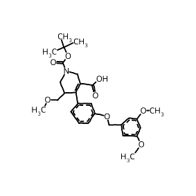 COCC1CN(C(=O)OC(C)(C)C)CC(C(=O)O)=C1c1cccc(OCc2cc(OC)cc(OC)c2)c1